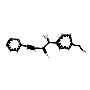 CC(C)Cc1ccc(C(C)C(=O)C#Cc2ccccc2)cc1